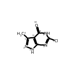 Cc1n[nH]c2nc(Cl)[nH]c(=O)c12